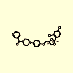 C[C@]1(c2ccc(Cl)cc2Cl)OC[C@@H](COc2ccc(N3CCN(C(=O)c4cccnc4)CC3)cc2)O1